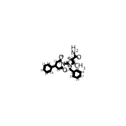 CC1=C(C(N)=O)SC(N2C(=O)CC(c3ccccc3)CC2=O)N1Cc1ccccc1